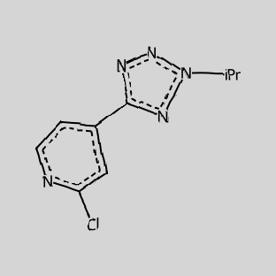 CC(C)n1nnc(-c2ccnc(Cl)c2)n1